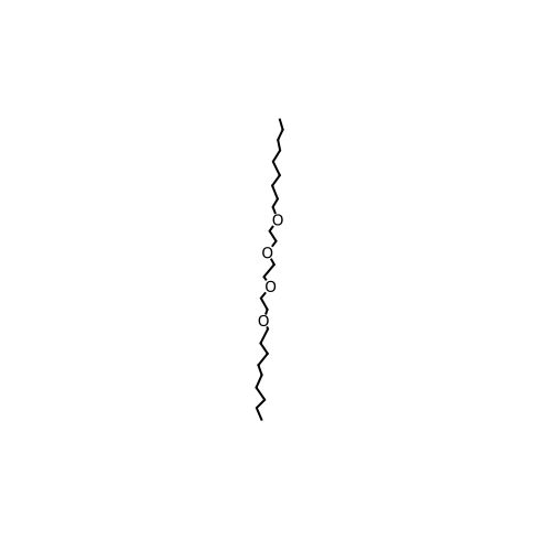 CCCCCCCCCOCCOCCOCCOCCCCCCCCC